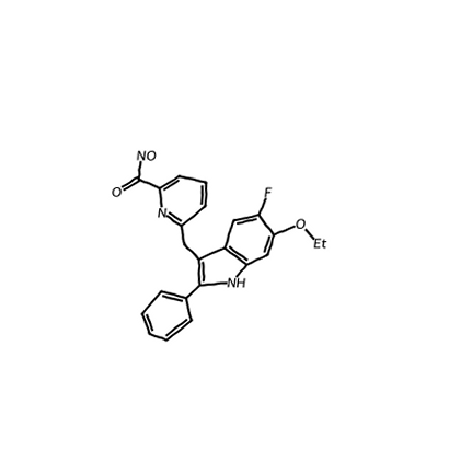 CCOc1cc2[nH]c(-c3ccccc3)c(Cc3cccc(C(=O)N=O)n3)c2cc1F